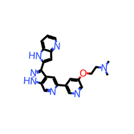 CN(C)CCOc1cncc(-c2cc3c(-c4cc5ncccc5[nH]4)n[nH]c3cn2)c1